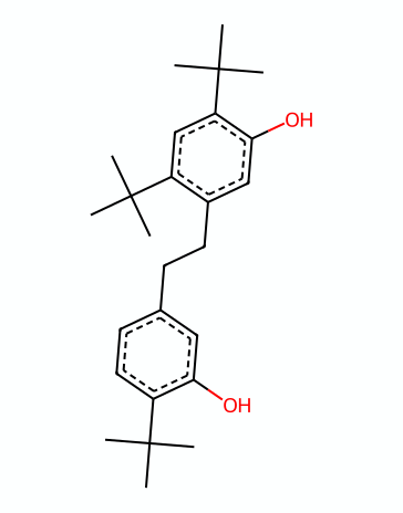 CC(C)(C)c1ccc(CCc2cc(O)c(C(C)(C)C)cc2C(C)(C)C)cc1O